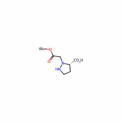 CC(C)(C)OC(=O)CN1NCC[C@H]1C(=O)O